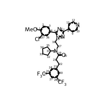 COc1ccc(-c2nc(-c3ccncc3)nn2CCN(C(=O)CCc2cc(C(F)(F)F)cc(C(F)(F)F)c2)C2CCCC2)cc1Cl